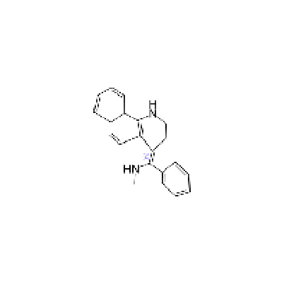 C=CC1=C(C2C=CC=CC2)NCC/C1=C(/NC)c1ccccc1